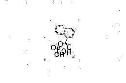 C=C(OP(=O)(O)O)c1cccc2ccccc12